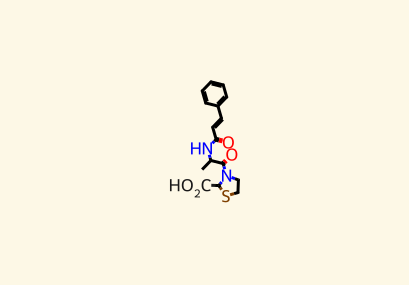 CC(NC(=O)C=Cc1ccccc1)C(=O)N1CCSC1C(=O)O